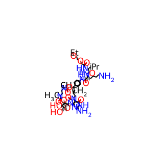 C=CCn1c(=O)n([C@@H]2O[C@H](CO)[C@@H](O)[C@H]2OC(=O)N(C)CCN(C)C(=O)OCc2ccc(NC(=O)[C@H](CCCCN)NC(=O)C(NC(=O)COCCOCC)C(C)C)cc2)c2nc(N)[nH]c(=O)c21